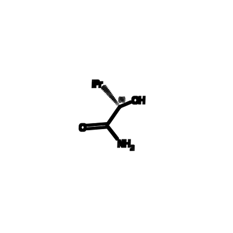 CC(C)[C@H](O)C(N)=O